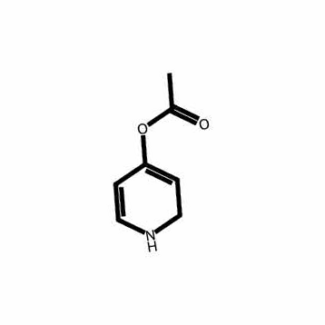 CC(=O)OC1=CCNC=C1